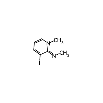 C/N=c1/c(I)cccn1C